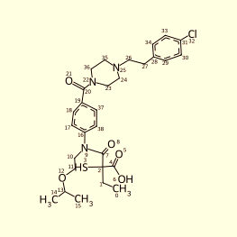 CCC(S)(C(=O)O)C(=O)N(CCOC(C)C)c1ccc(C(=O)N2CCN(CCc3ccc(Cl)cc3)CC2)cc1